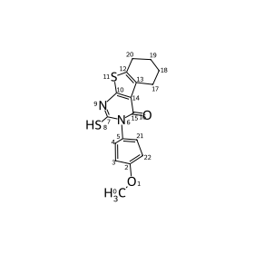 COc1ccc(-n2c(S)nc3sc4c(c3c2=O)CCCC4)cc1